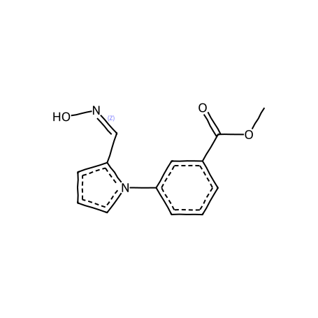 COC(=O)c1cccc(-n2cccc2/C=N\O)c1